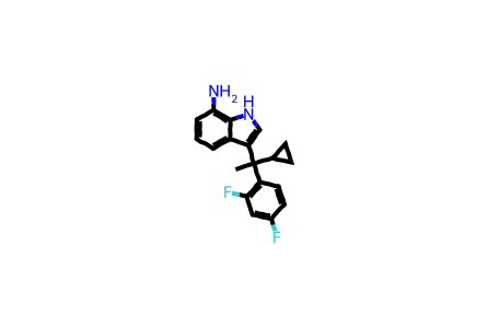 CC(c1ccc(F)cc1F)(c1c[nH]c2c(N)cccc12)C1CC1